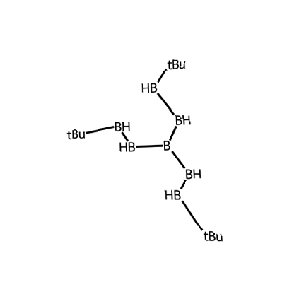 CC(C)(C)BBB(BBC(C)(C)C)BBC(C)(C)C